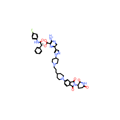 Nc1ncc(-c2cnn(C3CCN(CCCC4CCN(c5ccc6c(c5)C(=O)N(C5CCC(=O)NC5=O)C6=O)CC4)CC3)c2)nc1C(=O)O[C@@H](C(=O)Nc1ccc(F)cc1)c1ccccc1